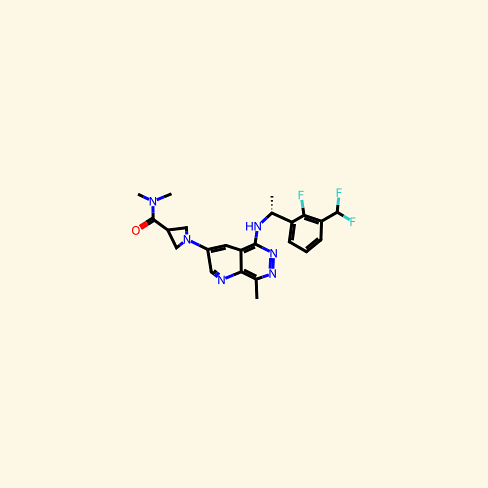 Cc1nnc(N[C@H](C)c2cccc(C(F)F)c2F)c2cc(N3CC(C(=O)N(C)C)C3)cnc12